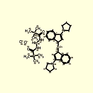 C1=C(N2CCCC2)c2ccccc2[CH]1[Zr+2][CH]1C=C(N2CCCC2)c2ccccc21.C[Si](C)(C)C(=O)[NH][InH][NH]C(=O)[Si](C)(C)C.[Cl-].[Cl-]